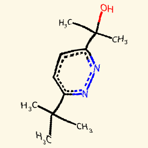 CC(C)(C)c1ccc(C(C)(C)O)nn1